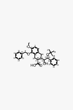 COc1ccc2c(c1OCc1ccccc1)C[C@H](C(=O)O)N(C(O)[C@H](OC(C)(C)C)c1ccccc1)C2